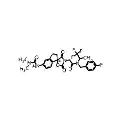 CC(N(Cc1ccc(F)cc1)C(=O)CN1C(=O)O[C@@]2(CCc3cc(NC(=O)N(C)C)ccc32)C1=O)C(F)(F)F